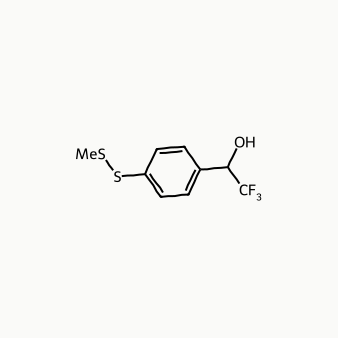 CSSc1ccc(C(O)C(F)(F)F)cc1